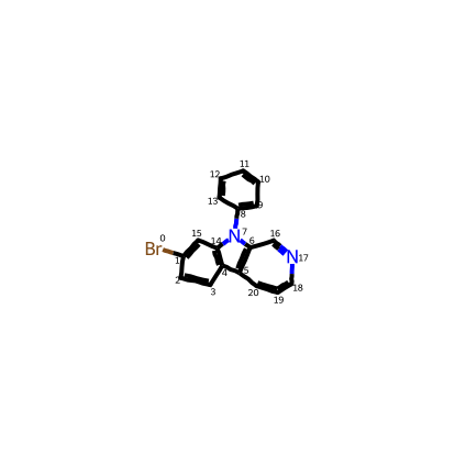 Brc1ccc2c3c(n(-c4ccccc4)c2c1)C=NC=C=C3